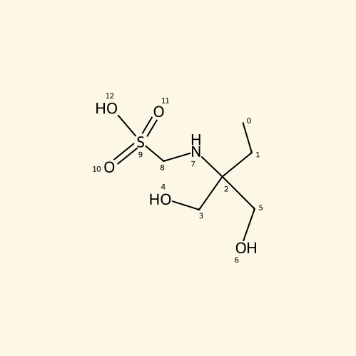 CCC(CO)(CO)NCS(=O)(=O)O